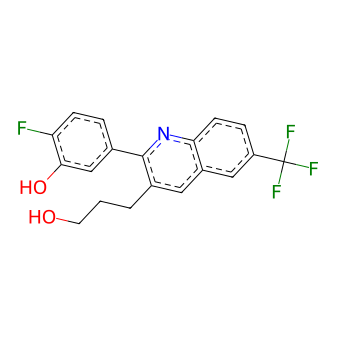 OCCCc1cc2cc(C(F)(F)F)ccc2nc1-c1ccc(F)c(O)c1